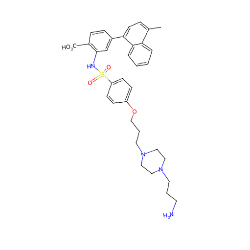 Cc1ccc(-c2ccc(C(=O)O)c(NS(=O)(=O)c3ccc(OCCCN4CCN(CCCN)CC4)cc3)c2)c2ccccc12